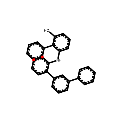 Oc1cccc(Nc2ccccc2-c2cccc(-c3ccccc3)c2)c1-c1ccccc1